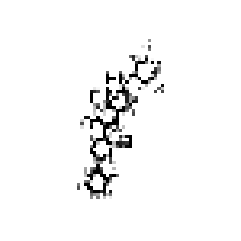 CCn1c(=O)c(-c2ccc(-c3ncccc3C)cc2Cl)cc2cnc(NC3C[C@@H](C)O[C@@H](C)C3)nc21